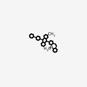 Cc1ccc2c(-c3ccc(-c4ccccc4)cc3)c3ccccc3c(-c3ccc4c(c3)N(C)c3ccccc3C=C4)c2c1